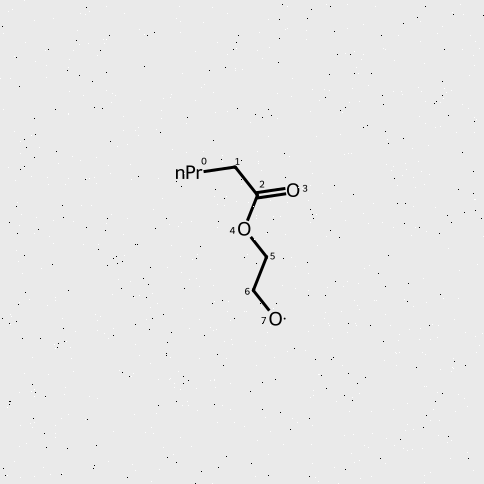 CCCCC(=O)OCC[O]